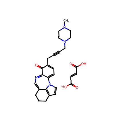 CN1CCN(CC#CCc2ccc3n4ccc5c4c(cnc-3c2=O)CCC5)CC1.O=C(O)/C=C/C(=O)O